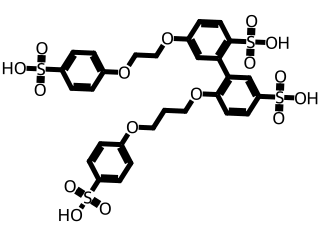 O=S(=O)(O)c1ccc(OCCCOc2ccc(S(=O)(=O)O)cc2-c2cc(OCCOc3ccc(S(=O)(=O)O)cc3)ccc2S(=O)(=O)O)cc1